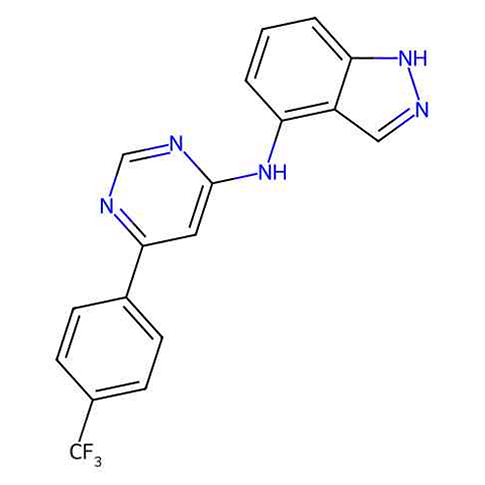 FC(F)(F)c1ccc(-c2cc(Nc3cccc4[nH]ncc34)ncn2)cc1